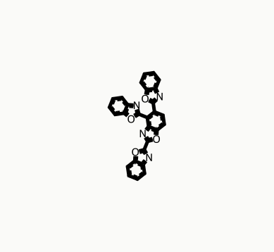 c1ccc2oc(-c3nc4c(-c5nc6ccccc6o5)c(-c5nc6ccccc6o5)ccc4o3)nc2c1